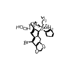 CC1=CC2=C(Br)C3=C(CC2=[C]1[Zr]([CH3])([CH3])(=[SiH2])[C]1=CC=CC1)OCO3.Cl.Cl